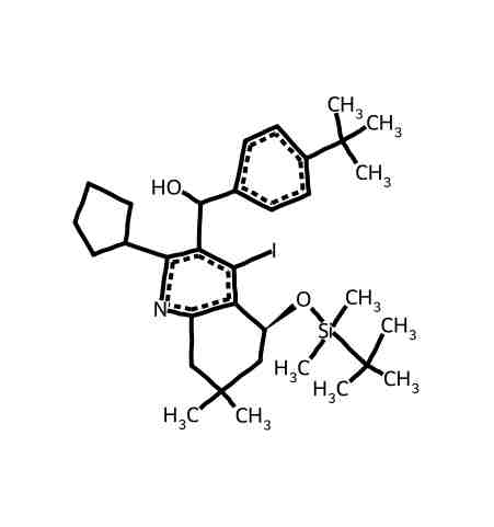 CC1(C)Cc2nc(C3CCCC3)c(C(O)c3ccc(C(C)(C)C)cc3)c(I)c2[C@@H](O[Si](C)(C)C(C)(C)C)C1